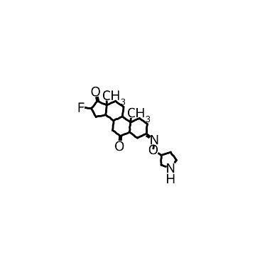 CC12CCC3C(CC(=O)C4C/C(=N\OC5CCNC5)CCC43C)C1CC(F)C2=O